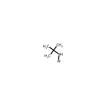 CC(C)(C)[NH][Al]